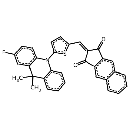 CC1(C)c2ccccc2N(c2ccc(C=C3C(=O)c4cc5ccccc5cc4C3=O)s2)c2ccc(F)cc21